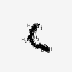 Cc1ccc(-n2cc(C(=O)NCc3nc(C(C)(C)C(F)(F)F)n[nH]3)cn2)c(C)c1-c1ccc(N2CCN(CC3CCN(c4cc5c(cc4F)C(=O)N(C4CCC(=O)NC4=O)C5=O)CC3)CC2)nc1